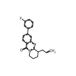 C=CCC1CCCn2c1nc1cc(-c3cccc(F)c3)ccc1c2=O